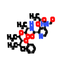 CC(=O)Oc1c(NC=O)ccnc1C(=O)N[C@@H](C)C(=O)OC(C)C(Oc1ccccc1)C(C)C